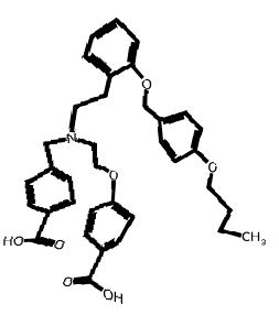 CCCCOc1ccc(COc2ccccc2CCN(CCOc2ccc(C(=O)O)cc2)Cc2ccc(C(=O)O)cc2)cc1